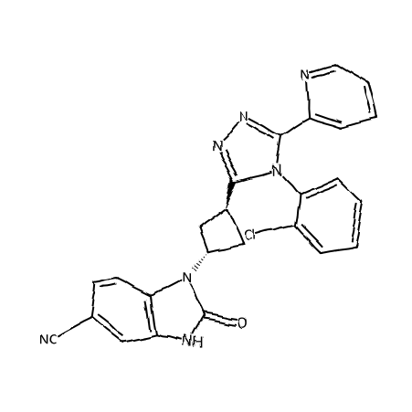 N#Cc1ccc2c(c1)[nH]c(=O)n2[C@H]1C[C@H](c2nnc(-c3ccccn3)n2-c2ccccc2Cl)C1